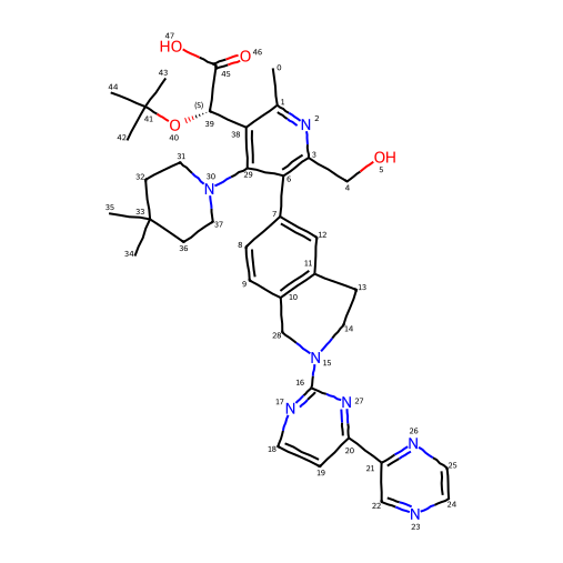 Cc1nc(CO)c(-c2ccc3c(c2)CCN(c2nccc(-c4cnccn4)n2)C3)c(N2CCC(C)(C)CC2)c1[C@H](OC(C)(C)C)C(=O)O